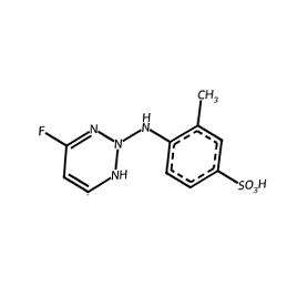 Cc1cc(S(=O)(=O)O)ccc1NN1N=C(F)C=[C]N1